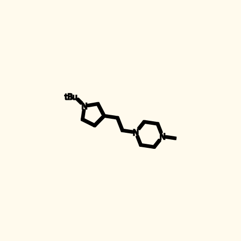 CN1CCN(CCC2CCN(C(C)(C)C)C2)CC1